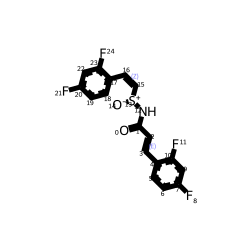 O=C(/C=C/c1ccc(F)cc1F)N[S+]([O-])/C=C\c1ccc(F)cc1F